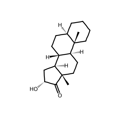 C[C@]12CCCC[C@@H]1CC[C@@H]1[C@@H]2CC[C@]2(C)C(=O)[C@H](O)C[C@@H]12